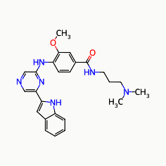 COc1cc(C(=O)NCCCN(C)C)ccc1Nc1cncc(-c2cc3ccccc3[nH]2)n1